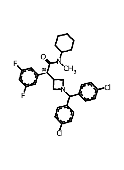 CN(C(=O)[C@H](c1cc(F)cc(F)c1)C1CN(C(c2ccc(Cl)cc2)c2ccc(Cl)cc2)C1)C1CCCCC1